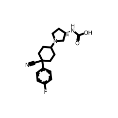 N#CC1(c2ccc(F)cc2)CCC(N2CC[C@H](NC(=O)O)C2)CC1